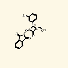 O=C1c2ccccc2C(=O)N1SN1C(=O)[C@H](CO)[C@@H]1c1cccc(Br)c1